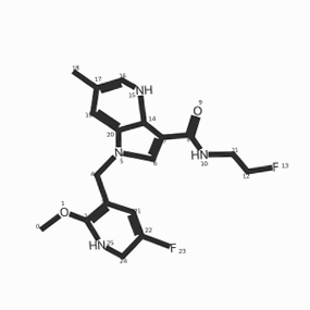 COC1=C(CN2C=C(C(=O)NCCF)C3NC=C(C)C=C32)C=C(F)CN1